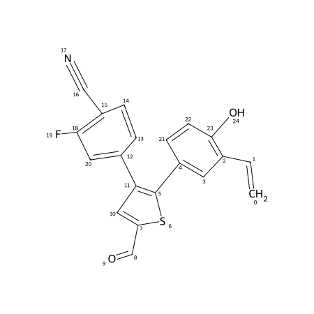 C=Cc1cc(-c2sc(C=O)cc2-c2ccc(C#N)c(F)c2)ccc1O